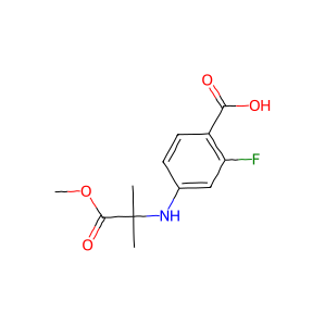 COC(=O)C(C)(C)Nc1ccc(C(=O)O)c(F)c1